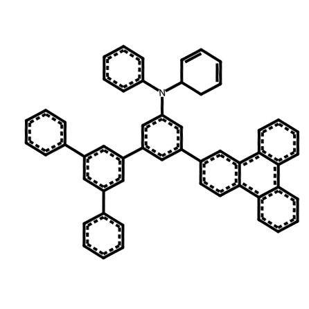 C1=CCC(N(c2ccccc2)c2cc(-c3cc(-c4ccccc4)cc(-c4ccccc4)c3)cc(-c3ccc4c5ccccc5c5ccccc5c4c3)c2)C=C1